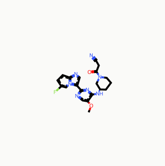 COc1cnc(-c2cnc3ccc(F)cn23)nc1N[C@@H]1CCCN(C(=O)CC#N)C1